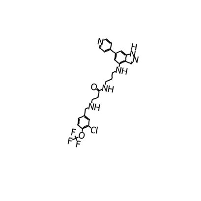 O=C(CCNCc1ccc(OC(F)(F)F)c(Cl)c1)NCCCNc1cc(-c2ccncc2)cc2[nH]ncc12